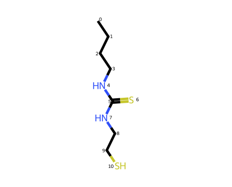 CCCCNC(=S)NCCS